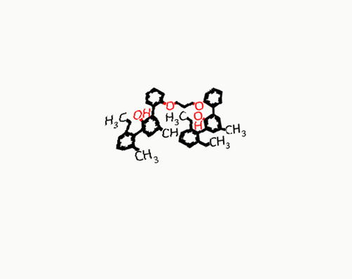 CCc1cccc(CC)c1-c1cc(C)cc(-c2ccccc2OCCCOc2ccccc2-c2cc(C)cc(-c3c(CC)cccc3CC)c2O)c1O